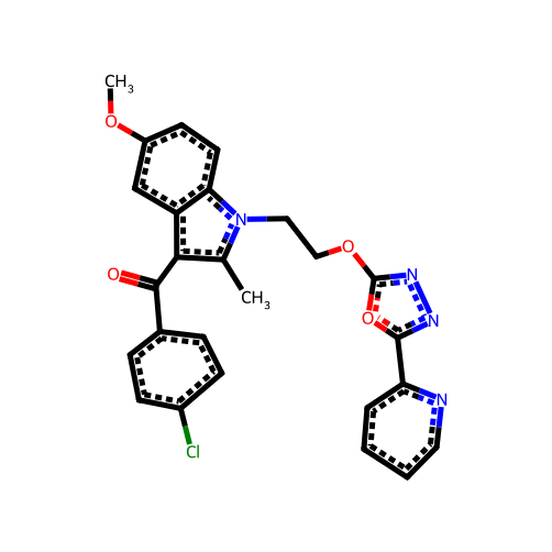 COc1ccc2c(c1)c(C(=O)c1ccc(Cl)cc1)c(C)n2CCOc1nnc(-c2ccccn2)o1